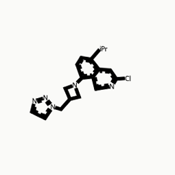 CC(C)c1ccc(N2CC(Cn3ccnn3)C2)c2cnc(Cl)cc12